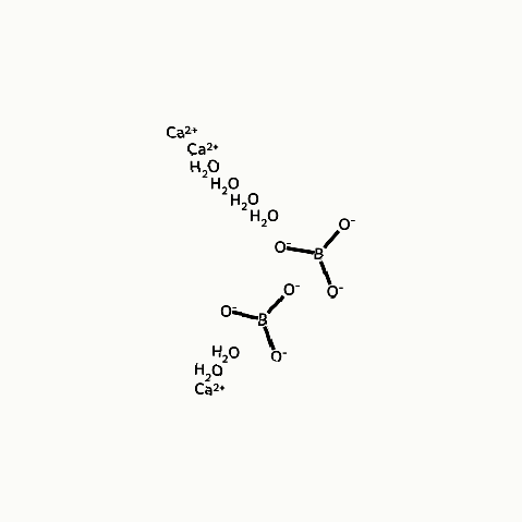 O.O.O.O.O.O.[Ca+2].[Ca+2].[Ca+2].[O-]B([O-])[O-].[O-]B([O-])[O-]